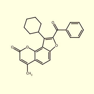 Cc1cc(=O)oc2c1ccc1oc(C(=O)c3ccccc3)c(C3CCCCC3)c12